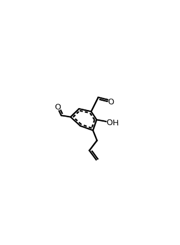 C=CCc1cc(C=O)cc(C=O)c1O